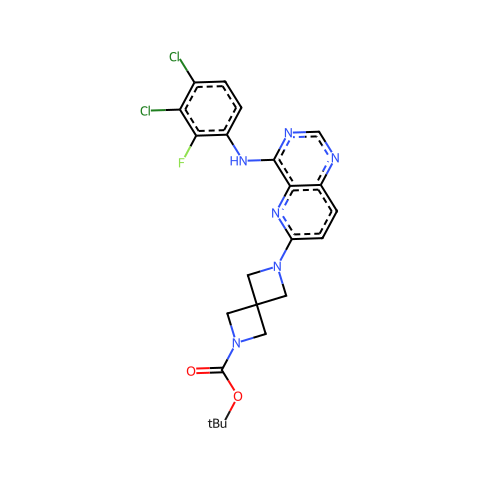 CC(C)(C)OC(=O)N1CC2(C1)CN(c1ccc3ncnc(Nc4ccc(Cl)c(Cl)c4F)c3n1)C2